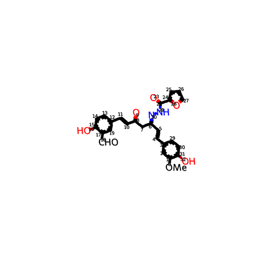 COc1cc(/C=C/C(CC(=O)/C=C/c2ccc(O)c(C=O)c2)=N\NC(=O)c2ccco2)ccc1O